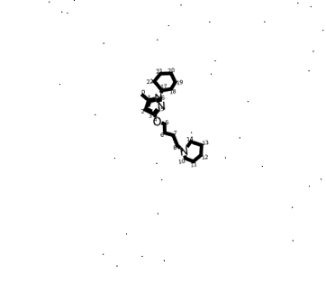 Cc1cc(OCCCCN2CCCCC2)nn1C1CCCCC1